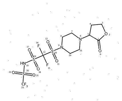 O=C1OCCC1N1CCN(S(=O)(=O)C(F)(F)S(=O)(=O)NS(=O)(=O)C(F)(F)F)CC1